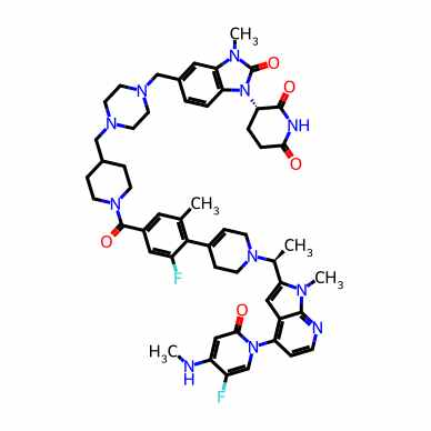 CNc1cc(=O)n(-c2ccnc3c2cc([C@H](C)N2CC=C(c4c(C)cc(C(=O)N5CCC(CN6CCN(Cc7ccc8c(c7)n(C)c(=O)n8[C@H]7CCC(=O)NC7=O)CC6)CC5)cc4F)CC2)n3C)cc1F